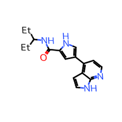 CCC(CC)NC(=O)c1cc(-c2ccnc3[nH]ccc23)c[nH]1